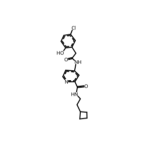 O=C(Cc1cc(Cl)ccc1O)Nc1ccnc(C(=O)NCCC2CCC2)c1